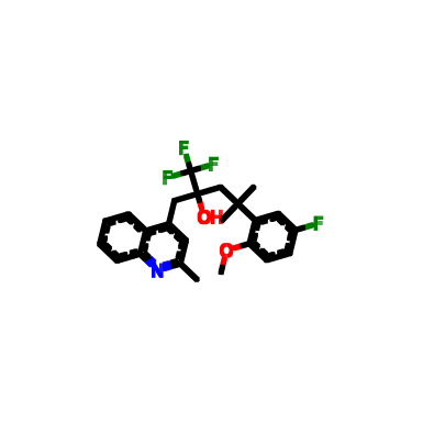 COc1ccc(F)cc1C(C)(C)CC(O)(Cc1cc(C)nc2ccccc12)C(F)(F)F